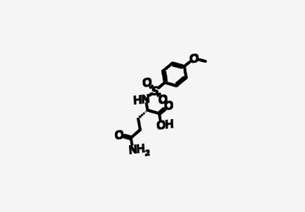 COc1ccc(S(=O)(=O)N[C@@H](CCC(N)=O)C(=O)O)cc1